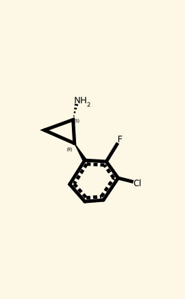 N[C@H]1C[C@@H]1c1cccc(Cl)c1F